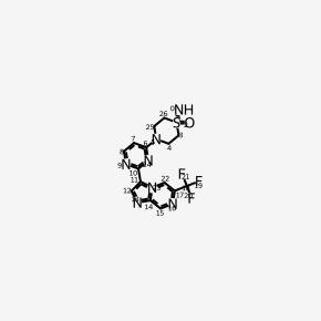 N=S1(=O)CCN(c2ccnc(-c3cnc4cnc(C(F)(F)F)cn34)n2)CC1